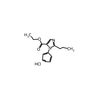 CCCc1ncc(C(=O)OCC)n1-c1ccccc1.Cl